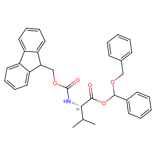 CC(C)[C@H](NC(=O)OCC1c2ccccc2-c2ccccc21)C(=O)OC(OCc1ccccc1)c1ccccc1